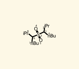 CCCCC(C(C)C)S(=O)(=O)C(CCCC)C(C)C